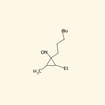 CCC(C)CCCC1(N=O)C(C)C1CC